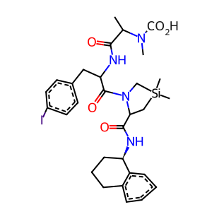 CC(C(=O)NC(Cc1ccc(I)cc1)C(=O)N1C[Si](C)(C)CC1C(=O)N[C@@H]1CCCc2ccccc21)N(C)C(=O)O